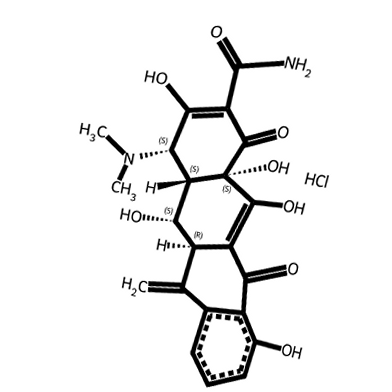 C=C1c2cccc(O)c2C(=O)C2=C(O)[C@]3(O)C(=O)C(C(N)=O)=C(O)[C@@H](N(C)C)[C@H]3[C@@H](O)[C@H]12.Cl